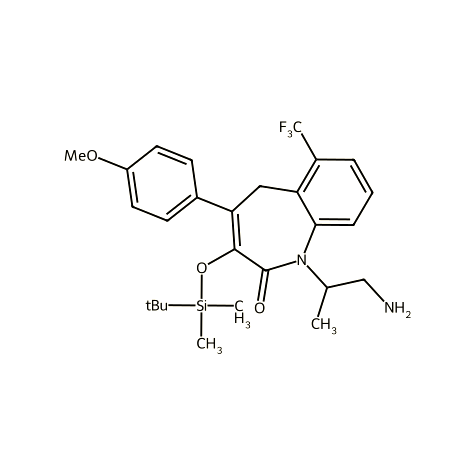 COc1ccc(C2=C(O[Si](C)(C)C(C)(C)C)C(=O)N(C(C)CN)c3cccc(C(F)(F)F)c3C2)cc1